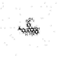 C=CC(=O)N1CCN(c2nc(NC3CCN(C4CC4)CC3)nc3c(F)c(-c4c(C)cccc4O)c(Cl)cc23)CC1